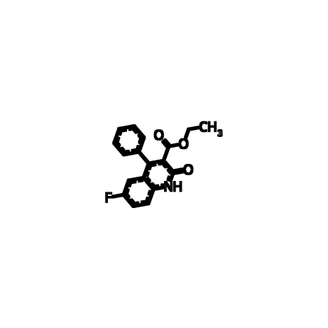 CCOC(=O)c1c(-c2ccccc2)c2cc(F)ccc2[nH]c1=O